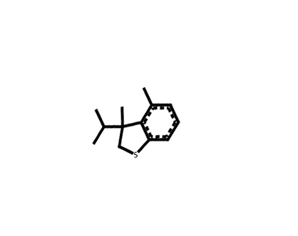 Cc1cccc2c1C(C)(C(C)C)CS2